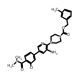 Cc1cccc(COC(=O)N2CCN(c3ncc(-c4ccc(C(=O)N(C)C)c(Cl)c4)cc3N)CC2)c1